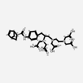 O=C(O)CN(CCN(CC(=O)O)CC(Cc1ccc(NC(=O)[C@H]2CC3C=CC2C3)cc1)N(CC(=O)O)CC(=O)O)CC(=O)O